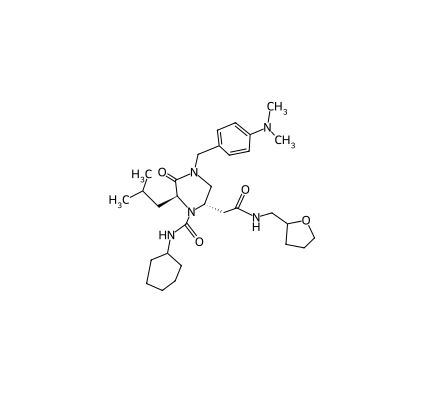 CC(C)C[C@H]1C(=O)N(Cc2ccc(N(C)C)cc2)C[C@H](CC(=O)NCC2CCCO2)N1C(=O)NC1CCCCC1